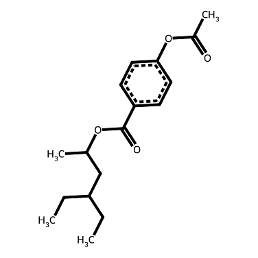 CCC(CC)CC(C)OC(=O)c1ccc(OC(C)=O)cc1